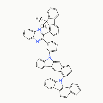 CC1(C)c2ccccc2-c2cccc(-c3nc4ccccc4nc3-c3cccc(-n4c5ccccc5c5cc6c(-n7c8ccccc8c8ccc9ccccc9c87)cccc6cc54)c3)c21